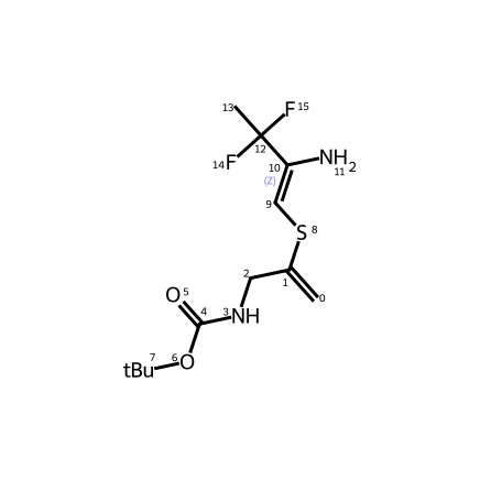 C=C(CNC(=O)OC(C)(C)C)S/C=C(\N)C(C)(F)F